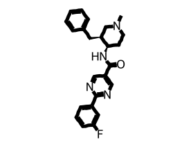 CN1CC[C@@H](NC(=O)c2cnc(-c3cccc(F)c3)nc2)[C@@H](Cc2ccccc2)C1